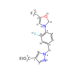 CCOC(=O)c1cnn(Cc2ccc(N3C=C(C(F)(F)F)OC3)c(F)c2)c1